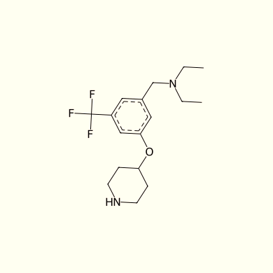 CCN(CC)Cc1cc(OC2CCNCC2)cc(C(F)(F)F)c1